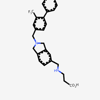 O=C(O)CCNCc1ccc2c(c1)CN(Cc1ccc(-c3ccccc3)c(C(F)(F)F)c1)C2